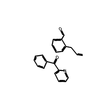 C=CCc1ccccc1C=O.O=C(c1ccccc1)c1ccccn1